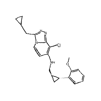 COc1ccccc1[C@@H]1C[C@H]1CNc1ccn2c(CC3CC3)nnc2c1Cl